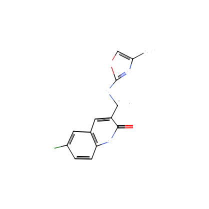 CC(=O)Nc1coc(N[C@H](C)c2cc3cc(Cl)ccc3[nH]c2=O)n1